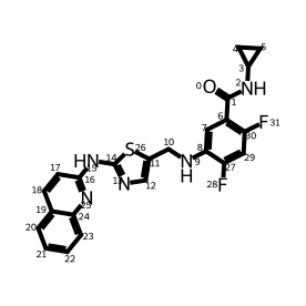 O=C(NC1CC1)c1cc(NCc2cnc(Nc3ccc4ccccc4n3)s2)c(F)cc1F